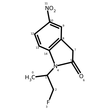 CC(CF)N1C(=O)Cc2cc([N+](=O)[O-])ccc21